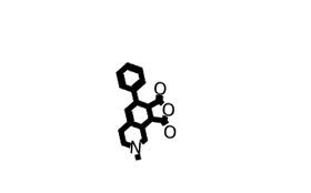 CN1CCC2=CC(c3ccccc3)C3C(=O)OC(=O)C3C2C1